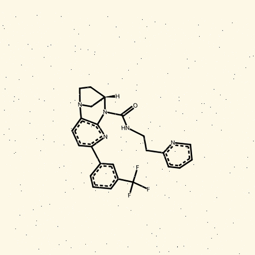 O=C(NCCc1ccccn1)N1c2nc(-c3cccc(C(F)(F)F)c3)ccc2N2CC[C@H]1C2